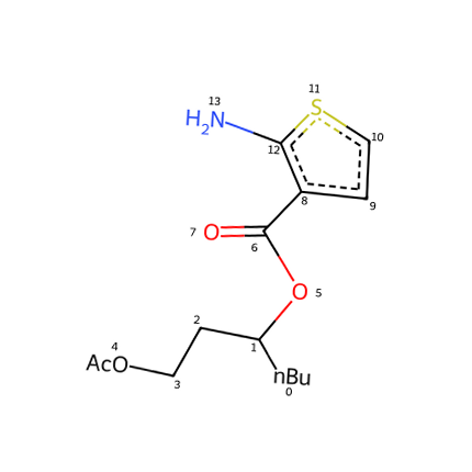 CCCCC(CCOC(C)=O)OC(=O)c1ccsc1N